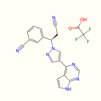 N#CC[C@H](c1cccc(C#N)c1)n1cc(-c2ncnc3[nH]ccc23)cn1.O=C(O)C(F)(F)F